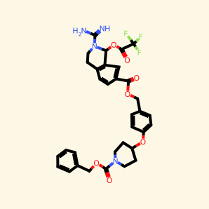 N=C(N)N1CCc2ccc(C(=O)OCc3ccc(OC4CCN(C(=O)OCc5ccccc5)CC4)cc3)cc2C1OC(=O)C(F)(F)F